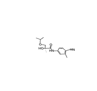 Cc1cc(NC(=O)[C@@](C)(O)COC(C)C)ccc1C#N